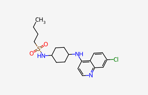 CCCCS(=O)(=O)NC1CCC(Nc2ccnc3cc(Cl)ccc23)CC1